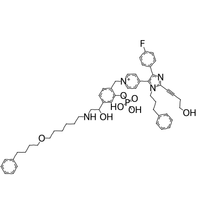 O=P(O)(O)Oc1cc(C(O)CNCCCCCCOCCCCc2ccccc2)ccc1C[n+]1ccc(-c2c(-c3ccc(F)cc3)nc(C#CCCO)n2CCCc2ccccc2)cc1